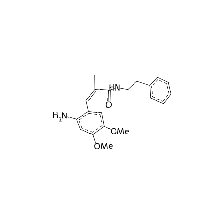 COc1cc(N)c(C=C(C)C(=O)NCCc2ccccc2)cc1OC